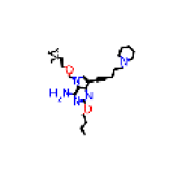 CCCCOc1nc(N)c2c(n1)c(C#CCCCN1CCCCC1)cn2COCC[Si](C)(C)C